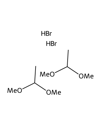 Br.Br.COC(C)OC.COC(C)OC